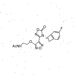 CC(=O)NCCOc1nonc1-c1noc(=O)n1[C@H]1Cc2ccc(F)cc21